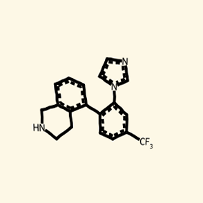 FC(F)(F)c1ccc(-c2cccc3c2CCNC3)c(-n2ccnc2)c1